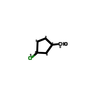 O=CC1CCC(Cl)C1